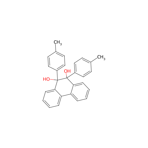 Cc1ccc(C2(O)c3ccccc3-c3ccccc3C2(O)c2ccc(C)cc2)cc1